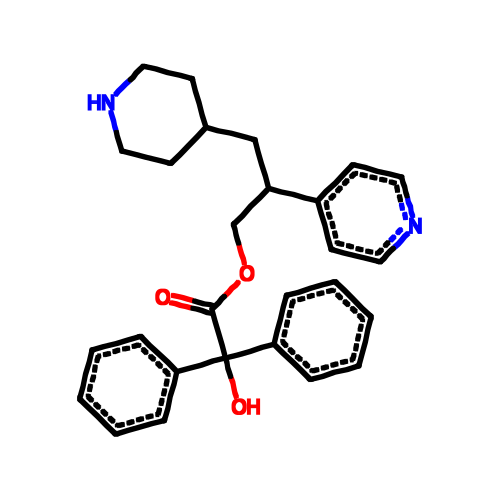 O=C(OCC(CC1CCNCC1)c1ccncc1)C(O)(c1ccccc1)c1ccccc1